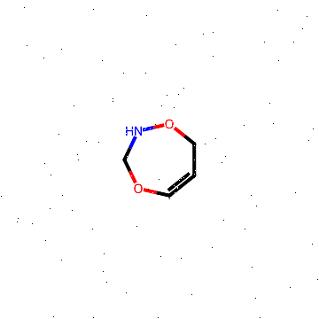 [C]1=CCONCO1